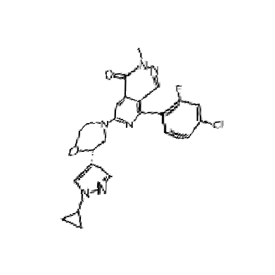 Cn1ncc2c(-c3ccc(Cl)cc3F)nc(N3CCO[C@@H](c4cnn(C5CC5)c4)C3)cc2c1=O